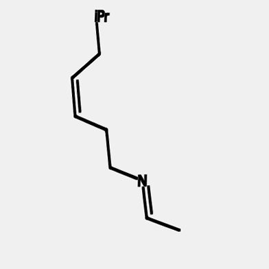 C/C=N/CC/C=C\CC(C)C